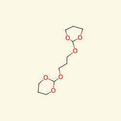 C1COC(OCCCOC2OCCCO2)OC1